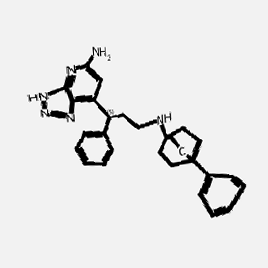 Nc1cc([C@@H](CCNC23CCC(c4ccccc4)(CC2)CC3)c2ccccc2)c2nn[nH]c2n1